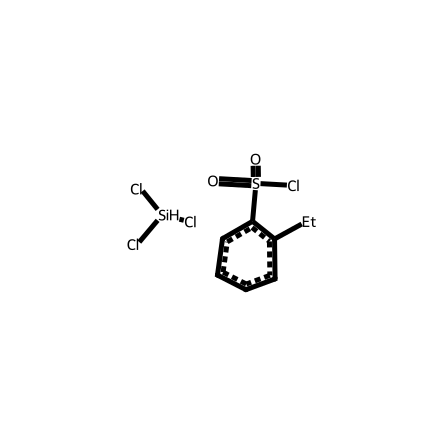 CCc1ccccc1S(=O)(=O)Cl.Cl[SiH](Cl)Cl